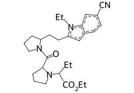 CCOC(=O)C(CC)N1CCCC1C(=O)N1CCCC1CCc1cc2ccc(C#N)cc2n1CC